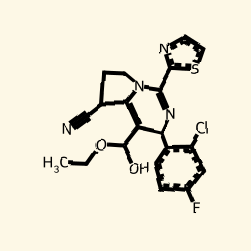 CCOC(O)C1=C2C(C#N)CCN2C(c2nccs2)=NC1c1ccc(F)cc1Cl